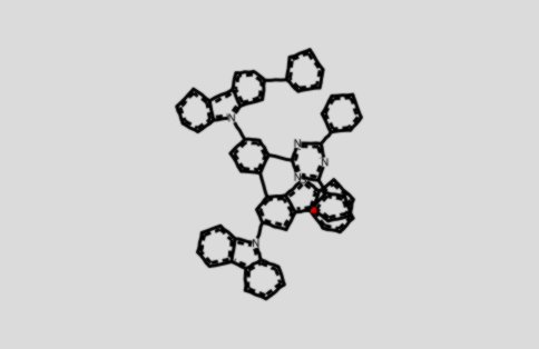 c1ccc(-c2ccc3c4ccccc4n(-c4ccc(-c5cc(-n6c7ccccc7c7ccccc76)cc6c5sc5ccccc56)c(-c5nc(-c6ccccc6)nc(-c6ccccc6)n5)c4)c3c2)cc1